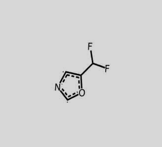 FC(F)c1[c]n[c]o1